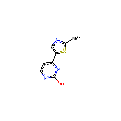 CNc1ncc(-c2ccnc(O)n2)s1